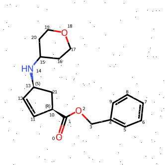 O=C(OCc1ccccc1)[C@H]1C=C[C@@H](NC2CCOCC2)C1